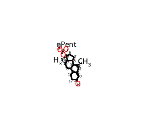 CCCCCOC(=O)O[C@H]1CCC2C3C(CC[C@@]21C)C1CCC(=O)C=C1C[C@@H]3C